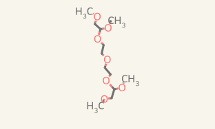 COCC(OC)OCCOCCOC(COC)OC